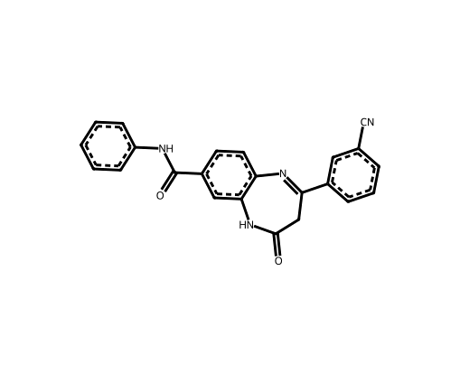 N#Cc1cccc(C2=Nc3ccc(C(=O)Nc4ccccc4)cc3NC(=O)C2)c1